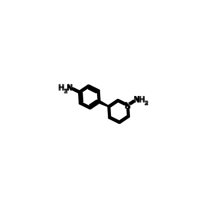 Nc1ccc([C@@H]2CCCN(N)C2)cc1